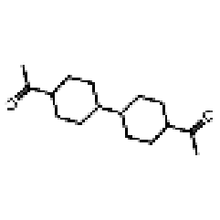 CC(=O)C1CCC(C2CCC(C(C)=O)CC2)CC1